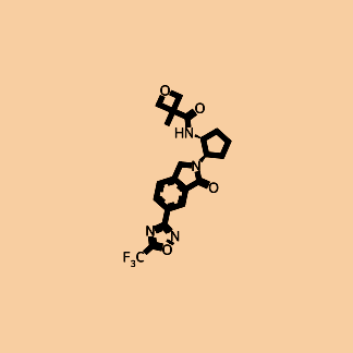 CC1(C(=O)N[C@@H]2CCC[C@H]2N2Cc3ccc(-c4noc(C(F)(F)F)n4)cc3C2=O)COC1